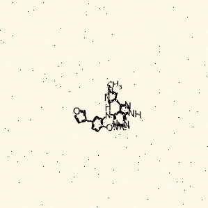 COc1ccc(-c2ccoc2)cc1Nc1ncnc2[nH]nc(-c3cnn(C)c3)c12